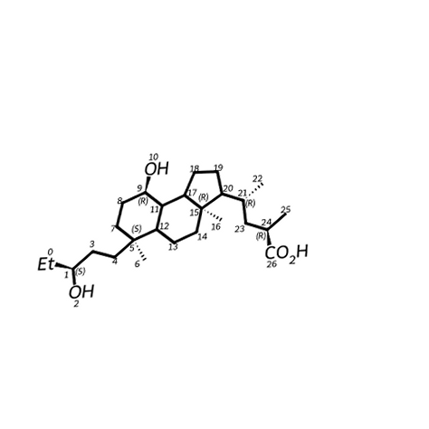 CC[C@H](O)CC[C@@]1(C)CC[C@@H](O)C2C1CC[C@@]1(C)C2CCC1[C@H](C)C[C@@H](C)C(=O)O